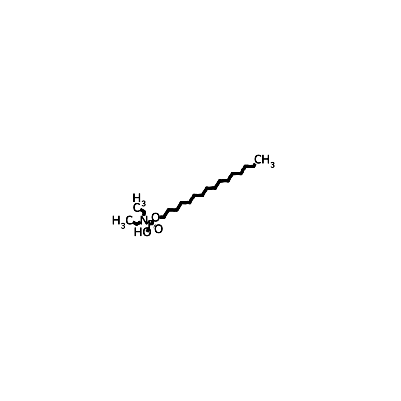 CCCCCCCCCCCCCCCCOP(=O)(O)N(CC)CC